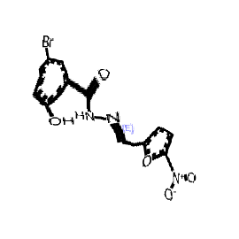 O=C(N/N=C/c1ccc([N+](=O)[O-])o1)c1cc(Br)ccc1O